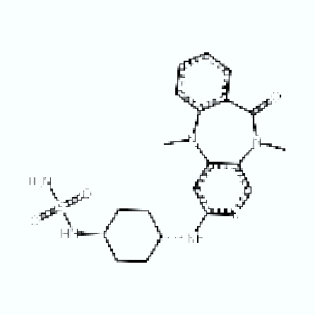 CN1C(=O)c2ccccc2N(C)c2cc(N[C@H]3CC[C@H](NS(N)(=O)=O)CC3)ncc21